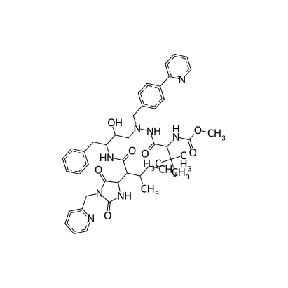 CCC(C)C(C(=O)NC(Cc1ccccc1)C(O)CN(Cc1ccc(-c2ccccn2)cc1)NC(=O)C(NC(=O)OC)C(C)(C)C)C1NC(=O)N(Cc2ccccn2)C1=O